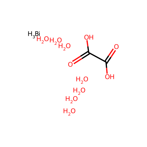 O.O.O.O.O.O.O.O=C(O)C(=O)O.[BiH3]